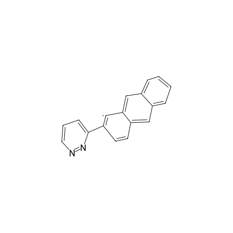 [c]1c(-c2cccnn2)ccc2cc3ccccc3cc12